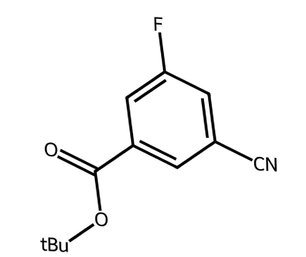 CC(C)(C)OC(=O)c1cc(F)cc(C#N)c1